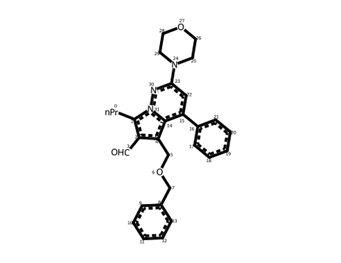 CCCc1c(C=O)c(COCc2ccccc2)c2c(-c3ccccc3)cc(N3CCOCC3)nn12